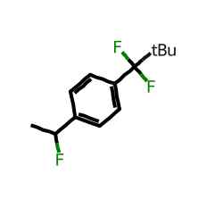 CC(F)c1ccc(C(F)(F)C(C)(C)C)cc1